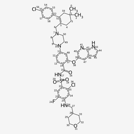 CC1(C)CCC(CN2CCN(c3ccc(C(=O)NS(=O)(=O)c4cc(F)c(NCC5CCOCC5)cc4Cl)c(Oc4cnc5[nH]ccc5c4)c3)CC2)=C(c2ccc(Cl)cc2)C1